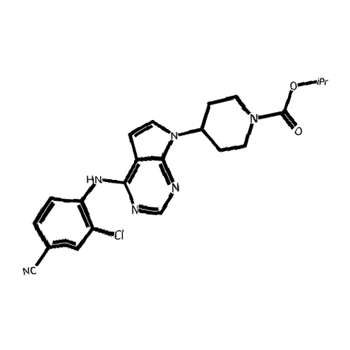 CC(C)OC(=O)N1CCC(n2ccc3c(Nc4ccc(C#N)cc4Cl)ncnc32)CC1